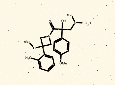 CCCCOC1(c2ccccc2C)CN(C(=O)C(O)(CN(C(=O)O)C(C)(C)C)c2ccc(OC)cc2)C1